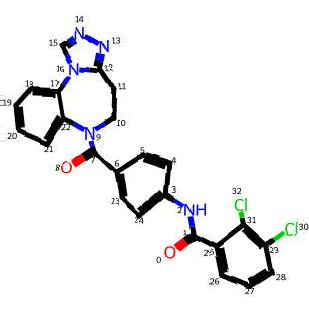 O=C(Nc1ccc(C(=O)N2CCc3nncn3-c3ccccc32)cc1)c1cccc(Cl)c1Cl